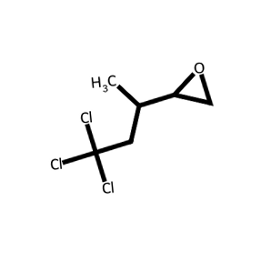 CC(CC(Cl)(Cl)Cl)C1CO1